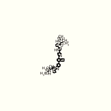 COC(=O)N[C@H](C(=O)N1CCCC1c1ncc(-c2ccc(-c3ccc(-c4ccc5nc(C6CCCN6C(=O)[C@@H](NC(=O)OC)C(C)C)[nH]c5c4)c4c3C3CCC4O3)nc2)[nH]1)C(C)C